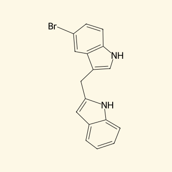 Brc1ccc2[nH]cc(Cc3cc4ccccc4[nH]3)c2c1